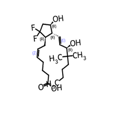 CCCCC(C)(C)[C@H](O)/C=C/[C@H]1[C@H](O)CC(F)(F)[C@@H]1C/C=C\CCCC(=O)O